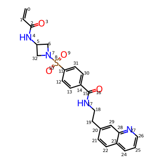 C=CC(=O)NC1CN(S(=O)(=O)c2ccc(C(=O)NCCc3ccc4cccnc4c3)cc2)C1